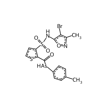 Cc1ccc([AsH]C(=O)c2sccc2S(=O)(=O)Nc2onc(C)c2Br)cc1